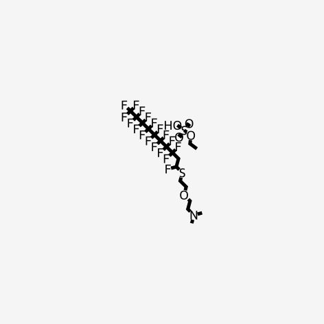 CCOS(=O)(=O)O.CN(C)CCOCCSC(F)CC(F)(F)C(F)(F)C(F)(F)C(F)(F)C(F)(F)C(F)(F)C(F)(F)C(F)(F)F